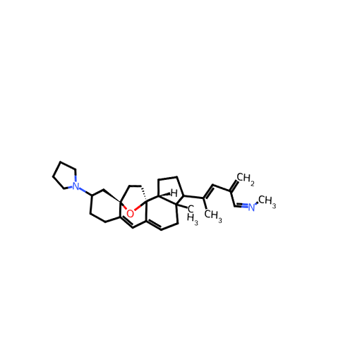 C=C(/C=N\C)/C=C(\C)C1CC[C@@H]2C1(C)CC=C1C=C3CCC(N4CCCC4)C[C@]34CC[C@@]12O4